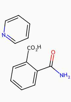 NC(=O)c1ccccc1C(=O)O.c1ccncc1